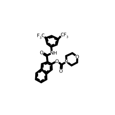 O=C(Nc1cc(C(F)(F)F)cc(C(F)(F)F)c1)c1cc2ccccc2cc1OC(=O)N1CCOCC1